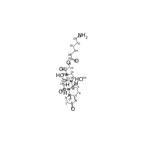 C[C@]12CCC(=O)C=C1CC[C@@H]1[C@@H]2C(=O)C[C@@]2(C)[C@H]1CC[C@]2(O)C(=O)COC(=O)CCCCCN.Cl